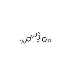 CC(C)(C)Oc1ccc(OCC2CCCN2C(=O)c2ccc(Cl)cc2)cc1